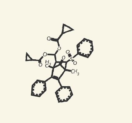 CC12C(=O)C(C)(C(c3ccccc3)=C1c1ccccc1)C(S(=O)(=O)c1ccccc1)C2C(OC(=O)C1CC1)OC(=O)C1CC1